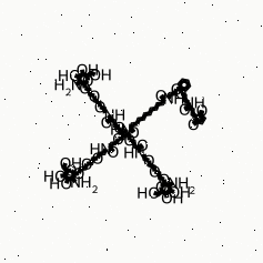 NC1C(OCCOCCOCCNC(=O)CCOCC(COCCC(=O)NCCOCCOCCOC2OC(CO)C(O)C(O)C2N)(COCCC(=O)NCCOCCOCCOC2OC(CO)C(O)C(O)C2N)NC(=O)CCCCCCCCCCC(=O)NCCOC2(OCCNC(=O)CCN3C(=O)C=CC3=O)CCCCC2)OC(CO)C(O)C1O